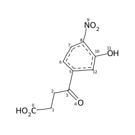 O=C(O)CCC(=O)c1ccc([N+](=O)[O-])c(O)c1